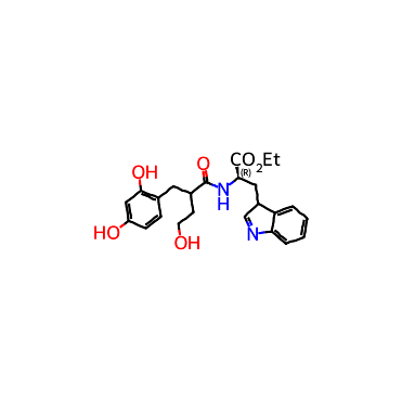 CCOC(=O)[C@@H](CC1C=Nc2ccccc21)NC(=O)C(CCO)Cc1ccc(O)cc1O